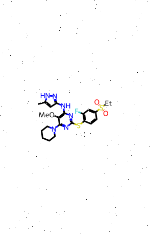 CCS(=O)(=O)c1ccc(Sc2nc(Nc3cc(C)[nH]n3)c(OC)c(N3CCCCC3)n2)c(F)c1